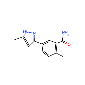 Cc1cc(-c2ccc(C)c(C(N)=O)c2)n[nH]1